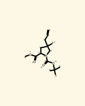 C=CCC1(F)CC(C(=O)OC)N(C(=O)OC(C)(C)C)C1